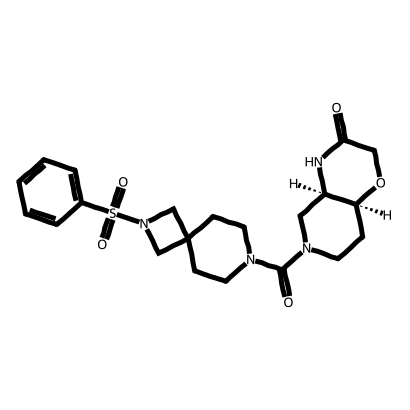 O=C1CO[C@H]2CCN(C(=O)N3CCC4(CC3)CN(S(=O)(=O)c3ccccc3)C4)C[C@H]2N1